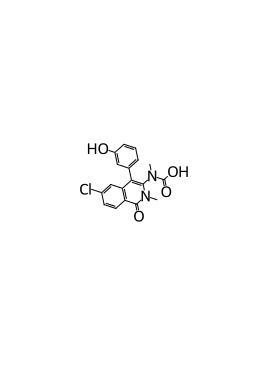 CN(C(=O)O)c1c(-c2cccc(O)c2)c2cc(Cl)ccc2c(=O)n1C